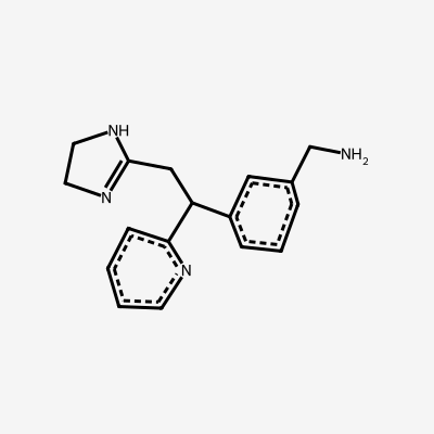 NCc1cccc(C(CC2=NCCN2)c2ccccn2)c1